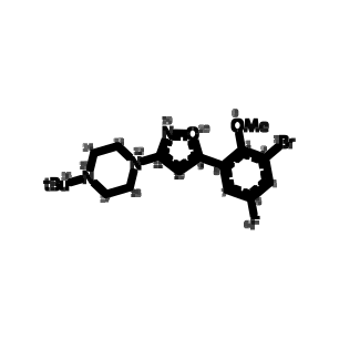 COc1c(Br)cc(F)cc1-c1cc(N2CCN(C(C)(C)C)CC2)no1